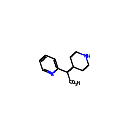 O=C(O)C(c1ccccn1)C1CCNCC1